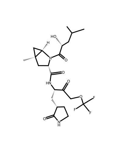 CC(C)C[C@@H](O)C(=O)N1[C@H](C(=O)N[C@@H](C[C@@H]2CCNC2=O)C(=O)COC(F)(F)F)C[C@@]2(C)C[C@@H]12